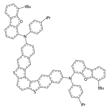 CC(C)c1ccc(N(c2ccc3cc4c(cc3c2)sc2ccc3sc5cc6cc(N(c7ccc(C(C)C)cc7)c7cccc8c7oc7c(C(C)(C)C)cccc78)ccc6cc5c3c24)c2cccc3c2oc2c(C(C)(C)C)cccc23)cc1